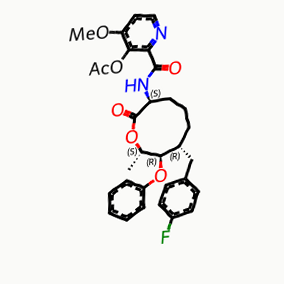 COc1ccnc(C(=O)N[C@H]2CCC[C@H](Cc3ccc(F)cc3)[C@@H](Oc3ccccc3)[C@H](C)OC2=O)c1OC(C)=O